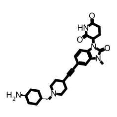 Cn1c(=O)n(C2CCC(=O)NC2=O)c2ccc(C#CC3CCN(C[C@H]4CC[C@H](N)CC4)CC3)cc21